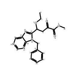 CCOC(CC(=O)C(=O)OC)c1nc2cncnc2n1Cc1ccccc1